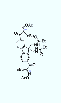 CCCC/C(=N\OC(C)=O)C(=O)C1=CC2=C(CC1)c1ccc(C(=O)/C(CCCC)=N/OC(C)=O)cc1C2(CNC(=O)CC)CNC(=O)CC